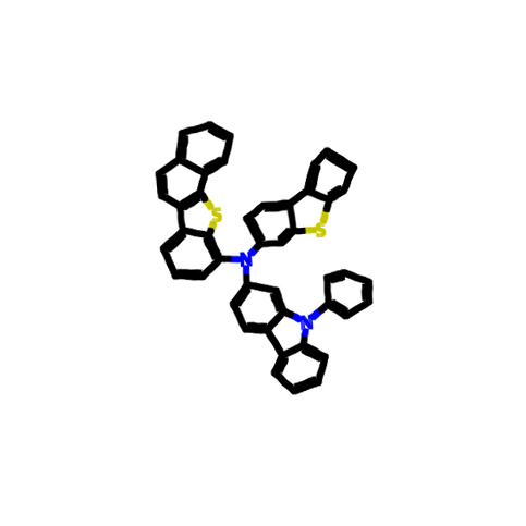 c1ccc(-n2c3ccccc3c3ccc(N(c4ccc5c(c4)sc4ccccc45)c4cccc5c4sc4c6ccccc6ccc54)cc32)cc1